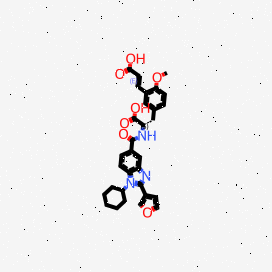 COc1ccc(C[C@H](NC(=O)c2ccc3c(c2)nc(-c2ccoc2)n3C2CCCCC2)C(=O)O)cc1/C=C/C(=O)O